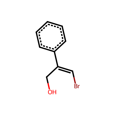 OCC(=CBr)c1ccccc1